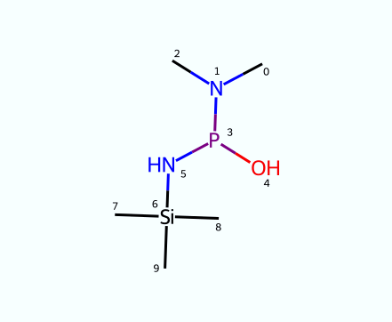 CN(C)P(O)N[Si](C)(C)C